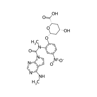 CNc1ncnc2c1ccn2C(=O)N(C)c1cc([N+](=O)[O-])ccc1O[C@H]1C[C@@H](O)C[C@@H](C(=O)O)O1